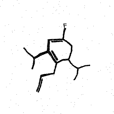 C=CCC1=C(C(C)C)C=C(F)CC1C(C)C